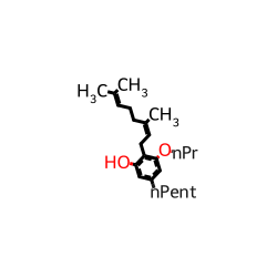 CCCCCc1cc(O)c(CC=C(C)CCC=C(C)C)c(OCCC)c1